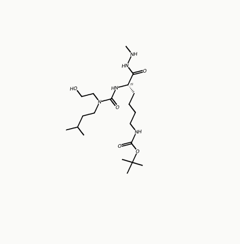 CNNC(=O)[C@H](CCCCNC(=O)OC(C)(C)C)NC(=O)N(CCO)CCC(C)C